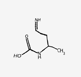 CC(CC=N)NC(=O)O